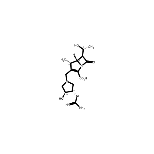 C[C@@H](O)C1C(=O)N2C(C(=O)O)=C(CN3C[C@H](NC(=N)N)[C@@H](O)C3)[C@H](C)[C@H]12